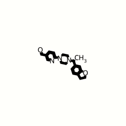 CC(c1ccc2c(c1)OCC2)N1CCN(c2ccc(C=O)cn2)CC1